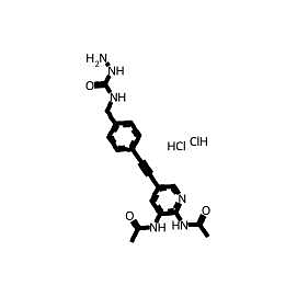 CC(=O)Nc1cc(C#Cc2ccc(CNC(=O)NN)cc2)cnc1NC(C)=O.Cl.Cl